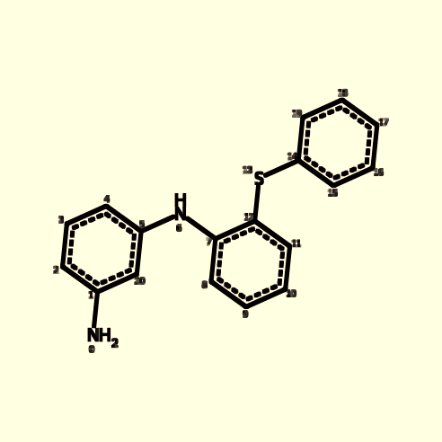 Nc1cccc(Nc2ccccc2Sc2ccccc2)c1